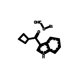 CCOC=O.O=C(c1c[nH]c2ccccc12)C1CCC1